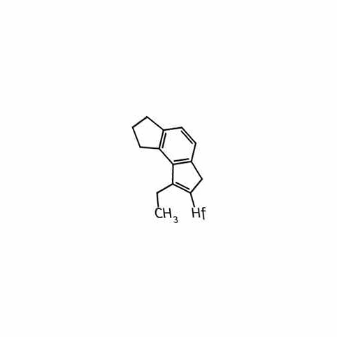 CCC1=[C]([Hf])Cc2ccc3c(c21)CCC3